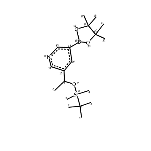 CC(O[Si](C)(C)C(C)(C)C)c1cncc(B2OC(C)(C)C(C)(C)O2)c1